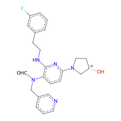 O=CN(Cc1cccnc1)c1ccc(N2CC[C@H](O)C2)nc1NCCc1cccc(F)c1